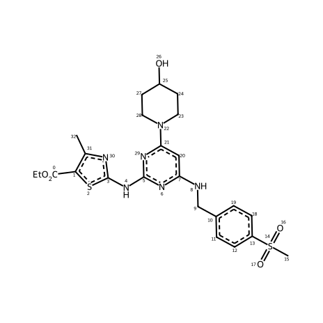 CCOC(=O)c1sc(Nc2nc(NCc3ccc(S(C)(=O)=O)cc3)cc(N3CCC(O)CC3)n2)nc1C